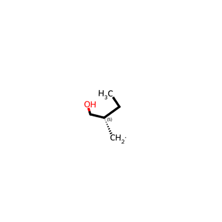 [CH2][C@@H](CC)CO